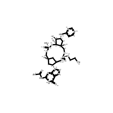 CC(C)C(=O)Nc1nc2c(nnn2[C@@H]2C[C@@H]3CO[P@](=O)(S)O[C@@H]4[C@@H](CO[P@@](=S)(OCCC#N)O[C@@H]2C3)C[C@@H](Nc2ccncn2)[C@@H]4F)c(=O)[nH]1